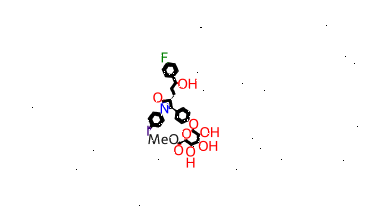 COC(=O)[C@H]1O[C@@H](Oc2ccc([C@@H]3[C@@H](CC[C@H](O)c4ccc(F)cc4)C(=O)N3c3ccc(I)cc3)cc2)[C@H](O)[C@@H](O)[C@@H]1O